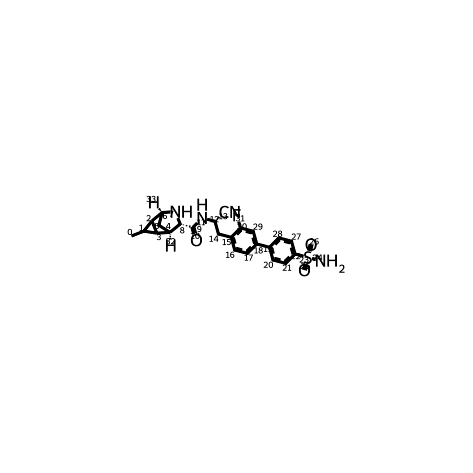 CC1C2C1[C@H]1C[C@@H]2N[C@@H]1C(=O)N[C@H](C#N)Cc1ccc(-c2ccc(S(N)(=O)=O)cc2)cc1F